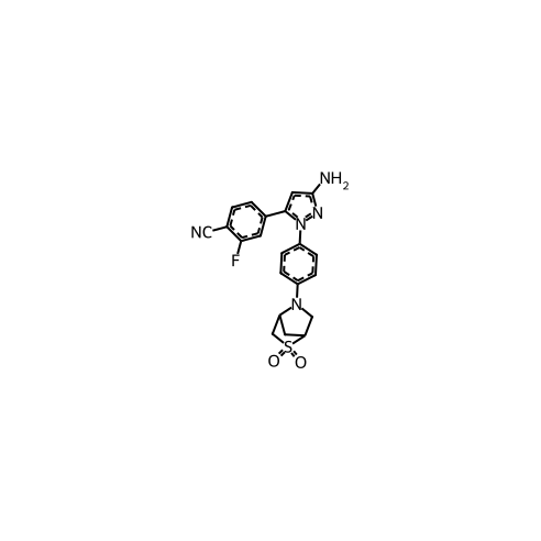 N#Cc1ccc(-c2cc(N)nn2-c2ccc(N3CC4CC3CS4(=O)=O)cc2)cc1F